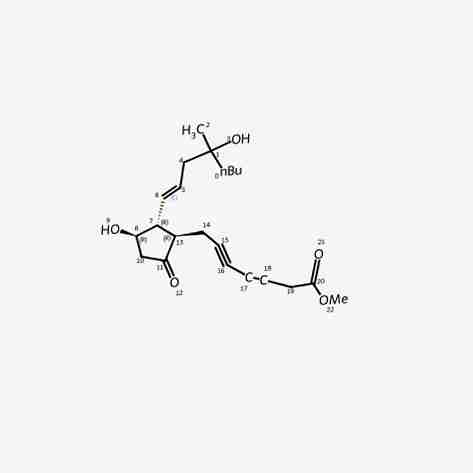 CCCCC(C)(O)C/C=C/[C@H]1[C@H](O)CC(=O)[C@@H]1CC#CCCCC(=O)OC